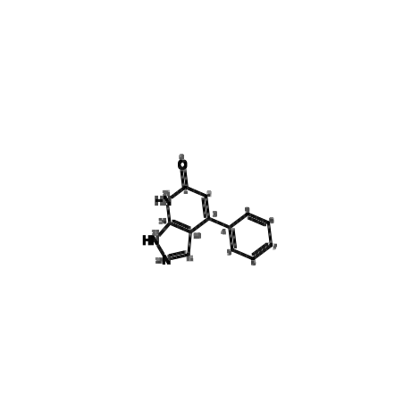 O=c1cc(-c2ccccc2)c2cn[nH]c2[nH]1